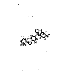 CN(c1ccc(Cl)cc1)c1ccc(Oc2ccccn2)cc1